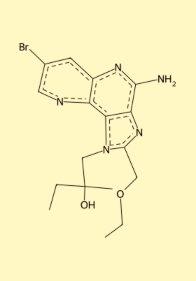 CCOCc1nc2c(N)nc3cc(Br)cnc3c2n1CC(C)(O)CC